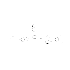 COc1ccc(CN2CCN(C3CC4(CCN(c5cc(Oc6cnc7[nH]ccc7c6)c(C(=O)NS(=O)(=O)c6ccc(NC[C@H]7CC[C@](C)(O)CC7)c([N+](=O)[O-])c6)cc5F)CC4)C3)[C@H](c3ccccc3C(C)C)C2)c2c1OCCO2